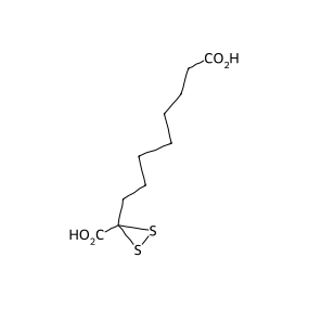 O=C(O)CCCCCCCC1(C(=O)O)SS1